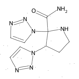 NC(=O)C1(n2ccnn2)NCCC1n1ccnn1